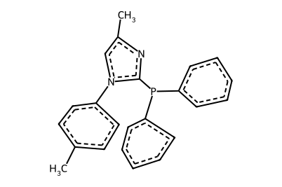 Cc1ccc(-n2cc(C)nc2P(c2ccccc2)c2ccccc2)cc1